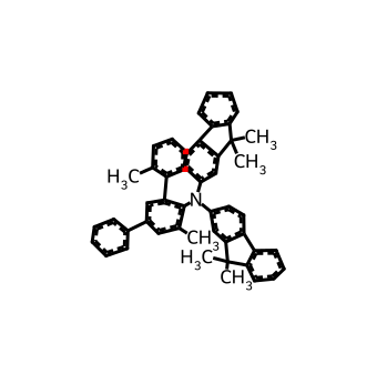 Cc1ccccc1-c1cc(-c2ccccc2)cc(C)c1N(c1ccc2c(c1)C(C)(C)c1ccccc1-2)c1ccc2c(c1)C(C)(C)c1ccccc1-2